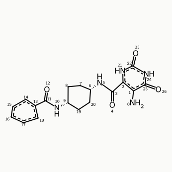 Nc1c(C(=O)N[C@H]2CC[C@@H](NC(=O)c3ccccc3)CC2)[nH]c(=O)[nH]c1=O